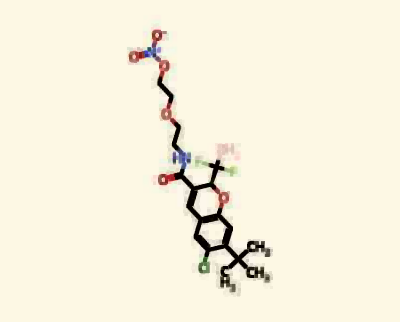 BC(F)(F)[C@H]1Oc2cc(C(C)(C)C)c(Cl)cc2C=C1C(=O)NCCOCCO[N+](=O)[O-]